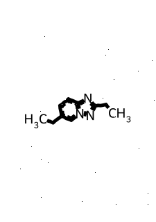 CCc1ccc2nc(CC)nn2c1